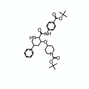 CC(C)(C)OC(=O)c1ccc(NC(=O)C2NCC(c3ccccc3)CC2OC2CCN(C(=O)OC(C)(C)C)CC2)cc1